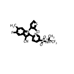 Cc1cc2c(cc1F)c(C#N)c(-c1ccc(S(=O)(=O)N[C@@H](C)C(F)(F)F)cn1)n2-c1ccsc1Cl